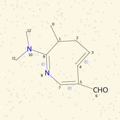 CC1C/C=C/C(C=O)=C\N=C/1N(C)C